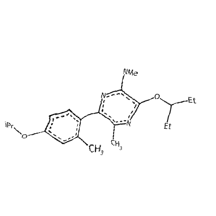 CCC(CC)Oc1nc(C)c(-c2ccc(OC(C)C)cc2C)nc1NC